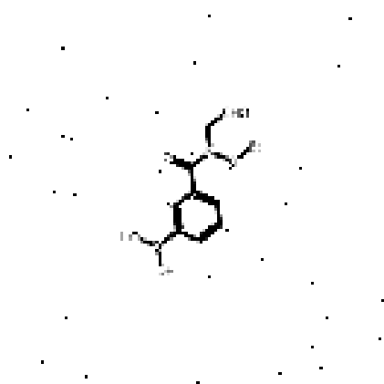 CCON(CC=O)C(=O)c1cccc(B(O)O)c1